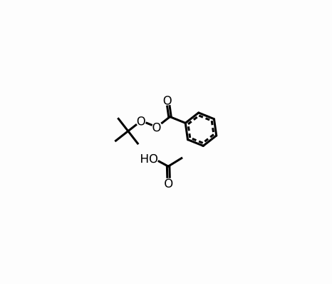 CC(=O)O.CC(C)(C)OOC(=O)c1ccccc1